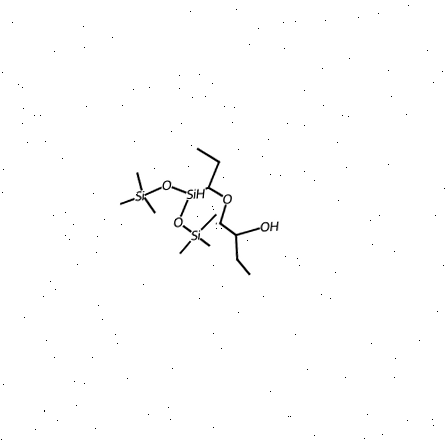 CCC(O)[CH]OC(CC)[SiH](O[Si](C)(C)C)O[Si](C)(C)C